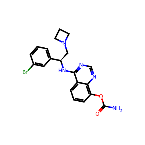 NC(=O)Oc1cccc2c(N[C@H](CN3CCC3)c3cccc(Br)c3)ncnc12